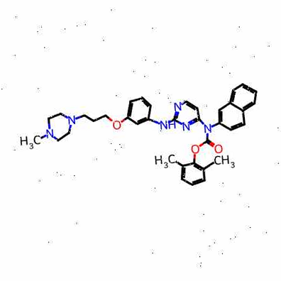 Cc1cccc(C)c1OC(=O)N(c1ccc2ccccc2c1)c1ccnc(Nc2cccc(OCCCN3CCN(C)CC3)c2)n1